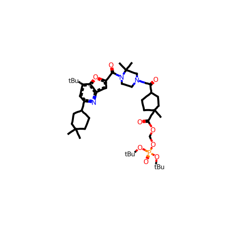 CC1(C)CCC(c2cc(C(C)(C)C)c3oc(C(=O)N4CCN(C(=O)C5CCC(C)(C(=O)OCOP(=O)(OC(C)(C)C)OC(C)(C)C)CC5)CC4(C)C)cc3n2)CC1